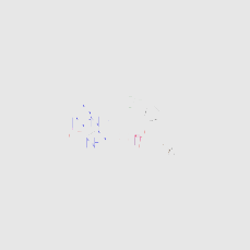 CC(=O)SCCOP(COCCn1cnc2c(=O)[nH]c(N)nc21)OCc1cccc(Br)c1